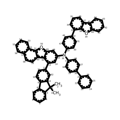 CC1(C)c2ccccc2-c2ccc(-c3cc(N(c4ccc(-c5ccccc5)cc4)c4ccc(-c5cccc6c5oc5ccccc56)cc4)cc4oc5c6ccccc6ccc5c34)cc21